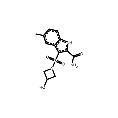 NC(=O)c1[nH]c2ccc(I)cc2c1S(=O)(=O)N1CC(O)C1